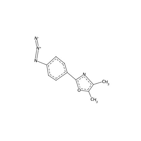 Cc1nc(-c2ccc(N=[N+]=[N-])cc2)oc1C